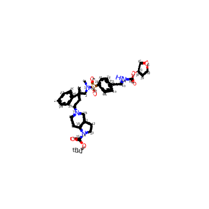 CN(CC(C)(CCN1CCC2C(CCN2C(=O)OC(C)(C)C)C1)c1ccccc1)S(=O)(=O)c1ccc(CNC(=O)O[C@H]2CCOC2)cc1